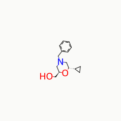 OC[C@H]1CN(Cc2ccccc2)C[C@H](C2CC2)O1